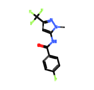 Cn1nc(C(F)(F)F)cc1NC(=O)c1ccc(F)cc1